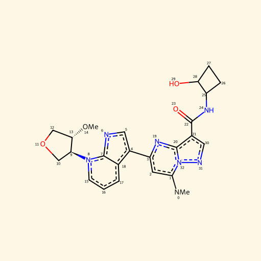 CNc1cc(-c2cnc3n([C@H]4COC[C@@H]4OC)cccc2-3)nc2c(C(=O)NC3CCC3O)cnn12